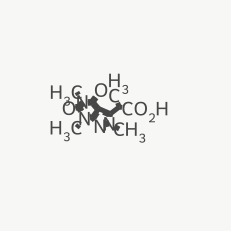 CC(C(=O)O)c1c2c(=O)n(C)c(=O)n(C)c2nn1C